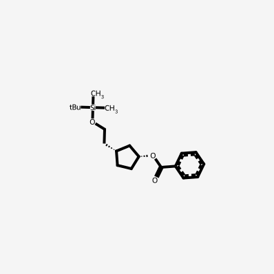 CC(C)(C)[Si](C)(C)OCC[C@H]1CC[C@@H](OC(=O)c2ccccc2)C1